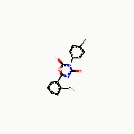 Cc1ccccc1-c1nc(=O)n(-c2ccc(Cl)cc2)c(=O)o1